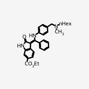 CCCCCCN(C)Cc1ccc(N/C(=C2\C(=O)Nc3cc(C(=O)OCC)ccc32)c2ccccc2)cc1